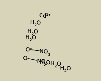 O.O.O.O.O.O.O=[N+]([O-])[O-].O=[N+]([O-])[O-].[Cd+2]